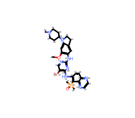 COc1cc2c(cc1Nc1ncc(Br)c(Nc3ccc4nccnc4c3P(C)(C)=O)n1)CCN2C1CCN(C)CC1